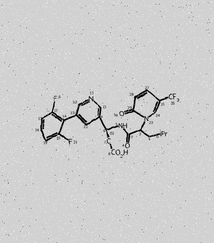 CC(C)CC(C(=O)N[C@@H](CC(=O)O)c1cncc(-c2c(F)cccc2F)c1)n1cc(C(F)(F)F)ccc1=O